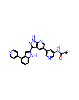 CC(C)C(=O)Nc1cncc(-c2cnc3[nH]nc(-c4cc5c(-c6ccncc6)cccc5[nH]4)c3c2)c1